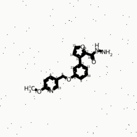 COc1ccc(COc2cccc(-c3ccoc3C(=O)NN)c2)cn1